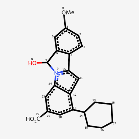 COc1ccc2c(c1)C(O)n1c-2cc2c(C3CCCCC3)cc(C(=O)O)cc21